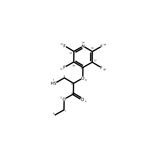 CCOC(=O)C(CS)Oc1c(F)c(F)nc(F)c1F